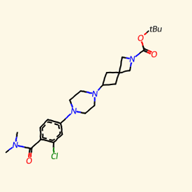 CN(C)C(=O)c1ccc(N2CCN(C3CC4(C3)CN(C(=O)OC(C)(C)C)C4)CC2)cc1Cl